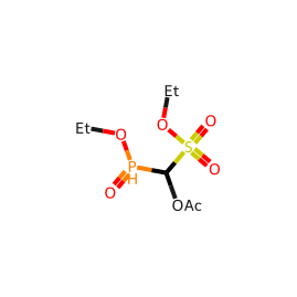 CCO[PH](=O)C(OC(C)=O)S(=O)(=O)OCC